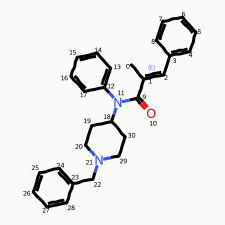 C/C(=C\c1ccccc1)C(=O)N(c1ccccc1)C1CCN(Cc2ccccc2)CC1